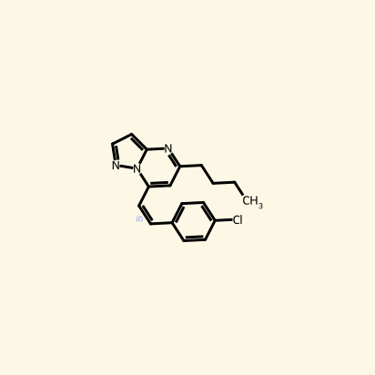 CCCCc1cc(/C=C\c2ccc(Cl)cc2)n2nccc2n1